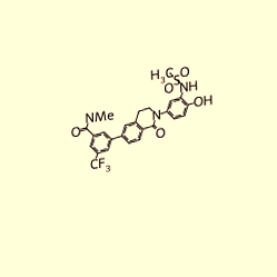 CNC(=O)c1cc(-c2ccc3c(c2)CCN(c2ccc(O)c(NS(C)(=O)=O)c2)C3=O)cc(C(F)(F)F)c1